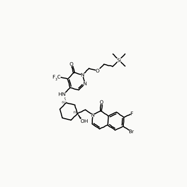 C[Si](C)(C)CCOCn1ncc(N[C@H]2CCC[C@@](O)(Cn3ccc4cc(Br)c(F)cc4c3=O)C2)c(C(F)(F)F)c1=O